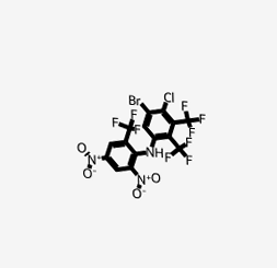 O=[N+]([O-])c1cc([N+](=O)[O-])c(Nc2cc(Br)c(Cl)c(C(F)(F)F)c2C(F)(F)F)c(C(F)(F)F)c1